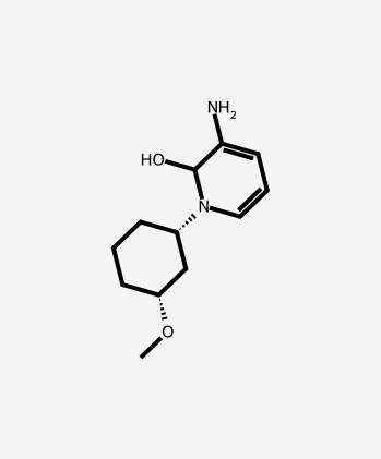 CO[C@@H]1CCC[C@H](N2C=CC=C(N)C2O)C1